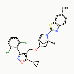 O=Cc1ccc2nc(N3C=C4C[C@H]3CC4OCc3c(-c4c(Cl)cccc4Cl)noc3C3CC3)sc2c1